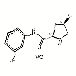 Cl.O=C(Nc1cccc(Br)c1)[C@@H]1C[C@@H](F)CN1